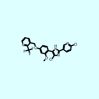 COc1cc(OCc2cccnc2C(F)(F)F)ccc1-c1[nH]c(-c2ccc(Cl)nc2)nc1Cl